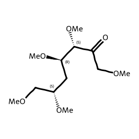 COCC(=O)[C@@H](OC)[C@@H](C[C@@H](COC)OC)OC